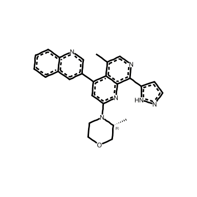 Cc1cnc(-c2ccn[nH]2)c2nc(N3CCOC[C@H]3C)cc(-c3cnc4ccccc4c3)c12